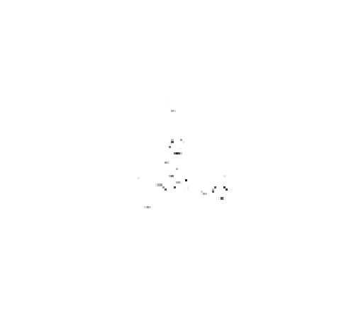 COCCOc1cc(NC(=O)c2cccc(CSCC(O)CO)c2)c(C(=O)N/N=C/c2ccc(Cl)c(C(F)(F)F)c2)cc1OCCOC